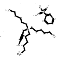 CCCCCC[N+](CC#CBr)(CCCCCC)CCCCCC.O=S(=O)([O-])c1ccccc1